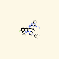 Cc1nc(N)nc(NC(C)c2cc3ccc(F)c(C)c3nc2N2CCN(C(C)C)CC2)n1